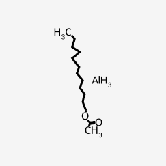 CCCCCCCCCCCCOC(C)=O.[AlH3]